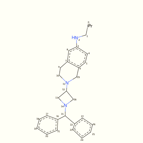 CC(C)CNc1ccc2c(c1)CCN(C1CN(C(c3ccccc3)c3ccccc3)C1)C2